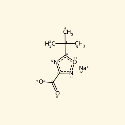 CC(C)(C)c1nc(C(=O)[O-])no1.[Na+]